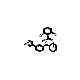 Cn1cc(-c2cccc([C@H](NC(=O)c3c(Cl)cccc3Cl)[C@@H]3CCCCN3)c2)cn1